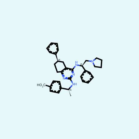 C[C@@H](Nc1nc2c(c(N[C@@H](CN3CCCC3)c3ccccc3)n1)C[C@H](c1ccccc1)CC2)c1ccc(C(=O)O)cc1